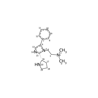 CN(C)CCn1c(-c2ccccc2)cnc1[C@@H]1CCCN1